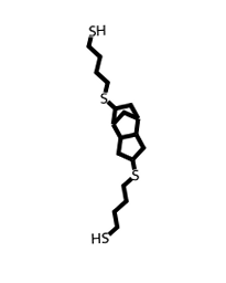 SCCCCSC1CC2C3CC(SCCCCS)C(C3)C2C1